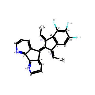 N#C/C=C1/C(=C2c3cccnc3-c3ncccc32)/C(=C/C#N)c2cc(F)c(F)c(F)c21